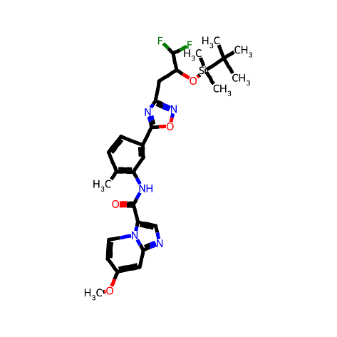 COc1ccn2c(C(=O)Nc3cc(-c4nc(CC(O[Si](C)(C)C(C)(C)C)C(F)F)no4)ccc3C)cnc2c1